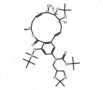 C[C@H]1C/C=C\[C@@H](O)[C@H]2OC(C)(C)O[C@H]2C/C=C/c2cc(N(CC3COC(C)(C)O3)C(=O)OC(C)(C)C)cc(O[Si](C)(C)C(C)(C)C)c2C(=O)O1